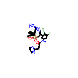 CC1(C)C(=N)N[C@](C)(c2cc(NC(=O)Cc3ncccn3)cc(F)c2F)CS1(=O)=O